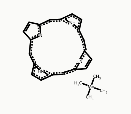 C1=Cc2cc3ccc(cc4nc(cc5ccc(cc1n2)[nH]5)C=C4)[nH]3.[CH3][Mn]([CH3])([CH3])[CH3]